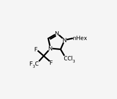 CCCCCCN1N=CN(C(F)(F)C(F)(F)F)C1C(Cl)(Cl)Cl